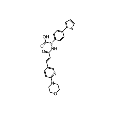 O=C(C=Cc1ccc(N2CCOCC2)nc1)NN(C(=O)O)c1ccc(-c2cccs2)cc1